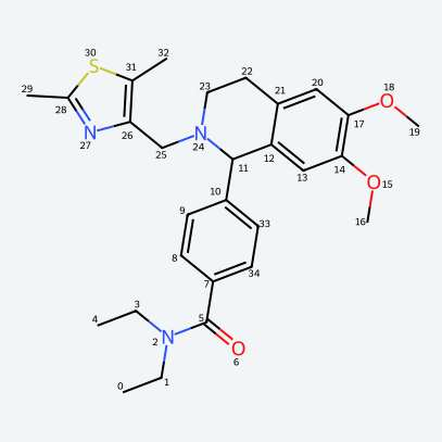 CCN(CC)C(=O)c1ccc(C2c3cc(OC)c(OC)cc3CCN2Cc2nc(C)sc2C)cc1